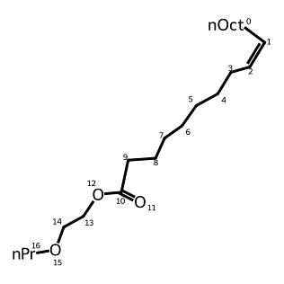 CCCCCCCC/C=C\CCCCCCCC(=O)OCCOCCC